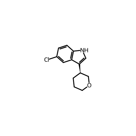 Clc1ccc2[nH]cc([C@@H]3CCCOC3)c2c1